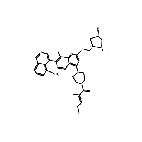 C/C(=C\CF)C(=O)N1CCN(c2nc(OC[C@@H]3C[C@@H](F)CN3C)nc3c(F)c(-c4cncc5cccc(C)c45)ncc23)CC1